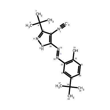 [C-]#[N+]c1c(C(C)(C)C)n[nH]c1/N=N/c1cc(C(C)(C)C)ccc1O